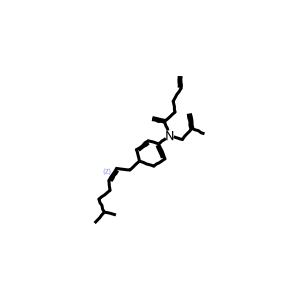 C=CCCC(=C)N(CC(=C)C)C1=CCC(C/C=C\CCC(C)C)C=C1